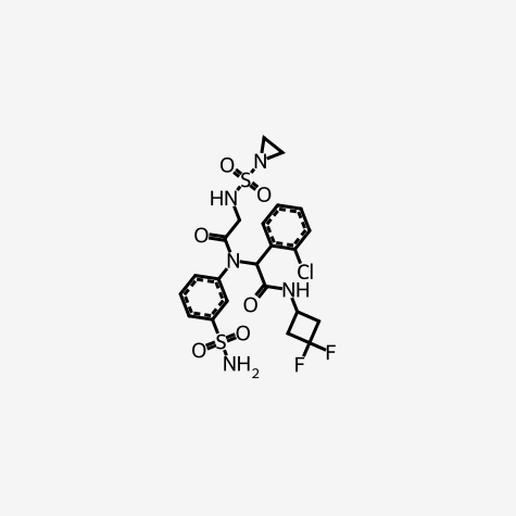 NS(=O)(=O)c1cccc(N(C(=O)CNS(=O)(=O)N2CC2)C(C(=O)NC2CC(F)(F)C2)c2ccccc2Cl)c1